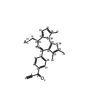 C#CC(=O)c1ccc(C2=N[C@@H](CC(C)=O)c3ccc(C)n3-c3sc(C)c(C)c32)cc1